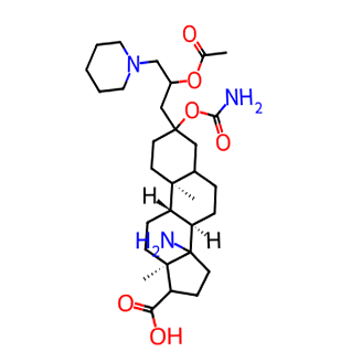 CC(=O)OC(CN1CCCCC1)CC1(OC(N)=O)CC[C@@]2(C)C(CC[C@@H]3[C@@H]2CC[C@]2(C)C(C(=O)O)CCC32N)C1